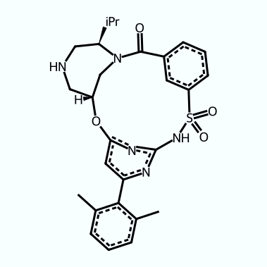 Cc1cccc(C)c1-c1cc2nc(n1)NS(=O)(=O)c1cccc(c1)C(=O)N1C[C@@H](CNC[C@H]1C(C)C)O2